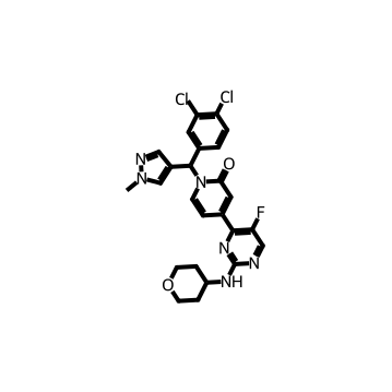 Cn1cc(C(c2ccc(Cl)c(Cl)c2)n2ccc(-c3nc(NC4CCOCC4)ncc3F)cc2=O)cn1